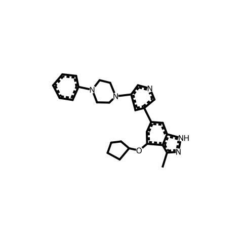 Cc1n[nH]c2cc(-c3cncc(N4CCN(c5ccccc5)CC4)c3)cc(OC3CCCC3)c12